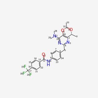 CCc1nc(Cc2ccc(NC(=O)c3ccc(C(F)(F)F)cc3)cc2)nc(N(C)C)c1OC(C)=O